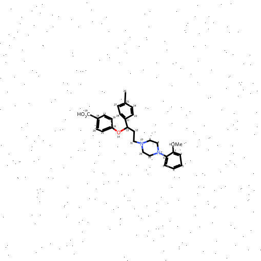 COc1ccccc1N1CCN(CCC(Oc2ccc(C(=O)O)cc2)c2ccc(C)cc2)CC1